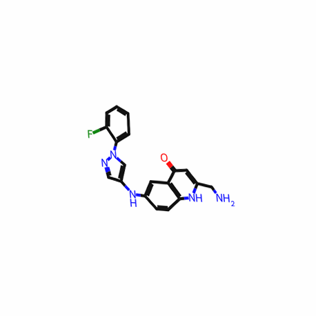 NCc1cc(=O)c2cc(Nc3cnn(-c4ccccc4F)c3)ccc2[nH]1